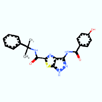 CC(C)(NC(=O)c1nc2c(NC(=O)c3ccc(O)cc3)n[nH]c2s1)c1ccccc1